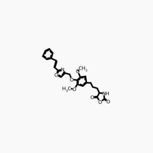 COc1cc(CCCC2NC(=O)OC2=O)cc(OC)c1OCc1coc(C=Cc2ccccc2)n1